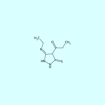 CC/N=C1/NNC(=S)C1C(=O)CC